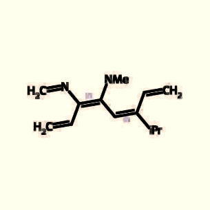 C=C/C(=C\C(NC)=C(/C=C)N=C)C(C)C